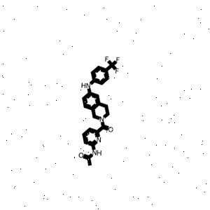 CC(=O)Nc1cccc(C(=O)N2CCc3cc(Nc4ccc(C(F)(F)F)cc4)ccc3C2)n1